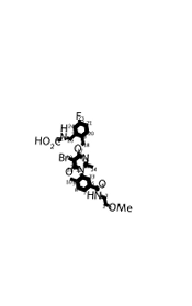 COCCNC(=O)c1ccc(C)c(-n2c(C)nc(OCc3ccc(F)cc3CNC(=O)O)c(Br)c2=O)c1